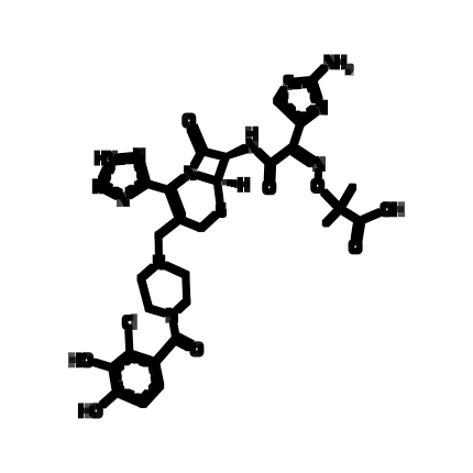 CC(C)(O/N=C(\C(=O)N[C@@H]1C(=O)N2C(c3nn[nH]n3)=C(CN3CCN(C(=O)c4ccc(O)c(O)c4Cl)CC3)CS[C@H]12)c1csc(N)n1)C(=O)O